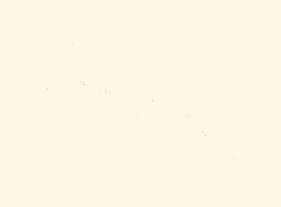 C=CCC(NC(=O)OC(C)(C)C)C(=O)Nc1ccc(C2CCN(C(=O)Nc3c(Cl)cccc3Cl)CC2)cc1